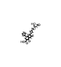 O=NCC(CO)ON=C1CN(c2nc3c(cc2F)c(=O)c(C(=O)O)cn3-c2ncns2)C1